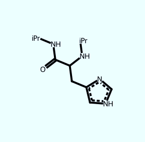 CC(C)NC(=O)C(Cc1c[nH]cn1)NC(C)C